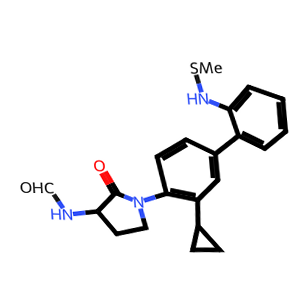 CSNc1ccccc1-c1ccc(N2CCC(NC=O)C2=O)c(C2CC2)c1